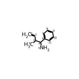 C=CC(C)C(N)c1ccccc1